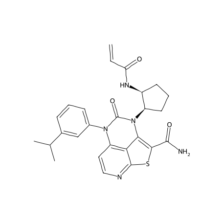 C=CC(=O)N[C@H]1CCC[C@H]1N1C(=O)N(c2cccc(C(C)C)c2)c2ccnc3sc(C(N)=O)c1c23